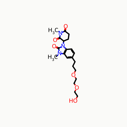 CN1C(=O)CCC(n2c(=O)n(C)c3cc(CCCOCCOCCO)ccc32)C1=O